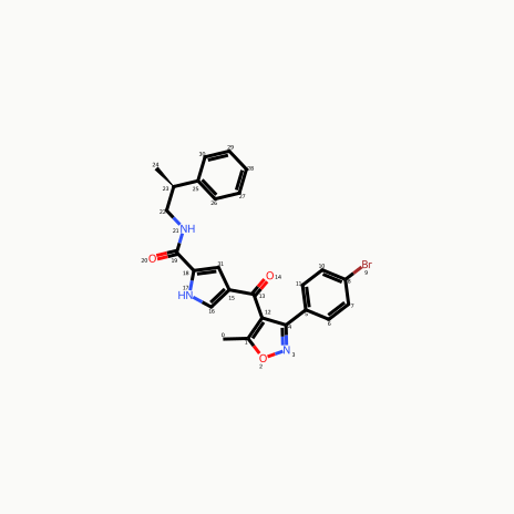 Cc1onc(-c2ccc(Br)cc2)c1C(=O)c1c[nH]c(C(=O)NC[C@@H](C)c2ccccc2)c1